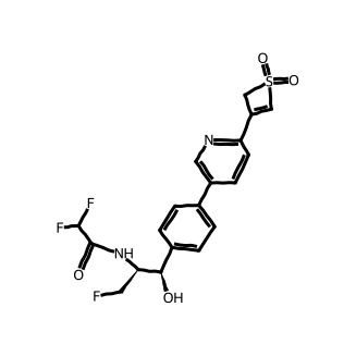 O=C(N[C@H](CF)[C@H](O)c1ccc(-c2ccc(C3=CS(=O)(=O)C3)nc2)cc1)C(F)F